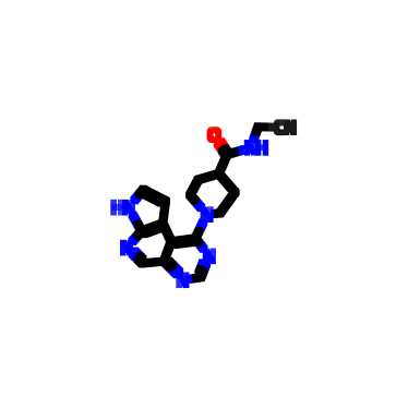 N#CCNC(=O)C1CCN(c2ncnc3cnc4[nH]ccc4c23)CC1